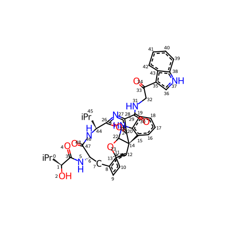 CC(C)[C@H](O)C(=O)N[C@H]1Cc2ccc3c(c2)[C@@]2(c4ccccc4NC2O3)c2oc(nc2C(=O)NCC(=O)c2c[nH]c3ccccc23)[C@H](C(C)C)NC1=O